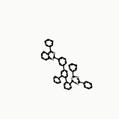 c1ccc(-c2nc(-c3ccccc3)nc(-c3ccccc3-c3ccc(-c4cccc(-c5nc(-c6ccccc6)c6ccccc6n5)c4)cc3-c3ccccc3)n2)cc1